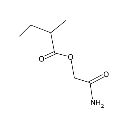 CCC(C)C(=O)OCC(N)=O